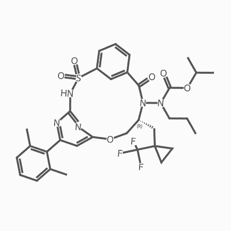 CCCN(C(=O)OC(C)C)N1C(=O)c2cccc(c2)S(=O)(=O)Nc2nc(cc(-c3c(C)cccc3C)n2)OC[C@H]1CC1(C(F)(F)F)CC1